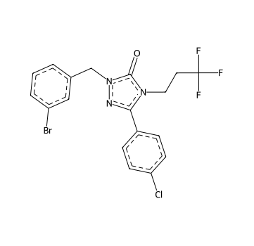 O=c1n(Cc2cccc(Br)c2)nc(-c2ccc(Cl)cc2)n1CCC(F)(F)F